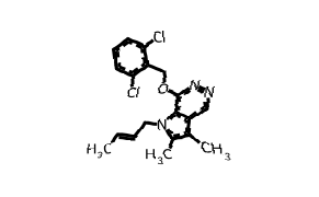 CC=CCn1c(C)c(C)c2cnnc(OCc3c(Cl)cccc3Cl)c21